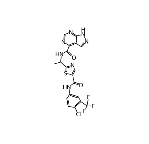 CC(NC(=O)c1ncnc2[nH]ncc12)c1ncc(C(=O)Nc2ccc(Cl)c(C(F)(F)F)c2)s1